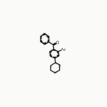 CC(=O)c1cc(C2CCCCC2)ccc1C(=O)c1ccccc1